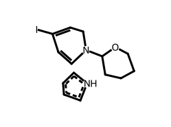 IC1=CCN(C2CCCCO2)C=C1.c1cc[nH]c1